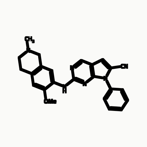 COc1cc2c(cc1Nc1ncc3cc(C#N)n(-c4ccccc4)c3n1)CN(C)CC2